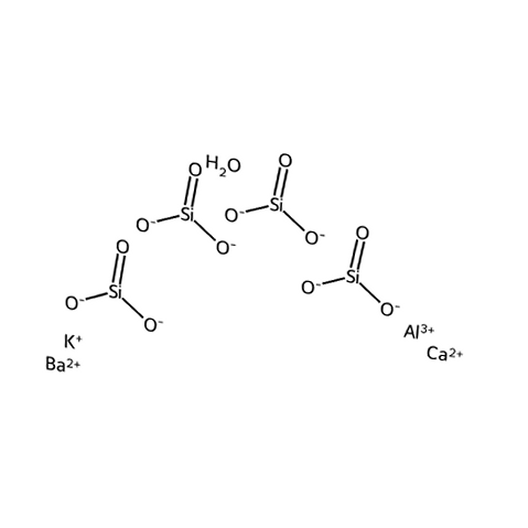 O.O=[Si]([O-])[O-].O=[Si]([O-])[O-].O=[Si]([O-])[O-].O=[Si]([O-])[O-].[Al+3].[Ba+2].[Ca+2].[K+]